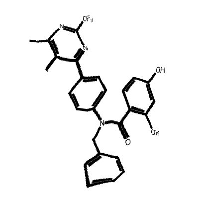 Cc1nc(C(F)(F)F)nc(-c2ccc(N(Cc3ccccc3)C(=O)c3ccc(O)cc3O)cc2)c1C